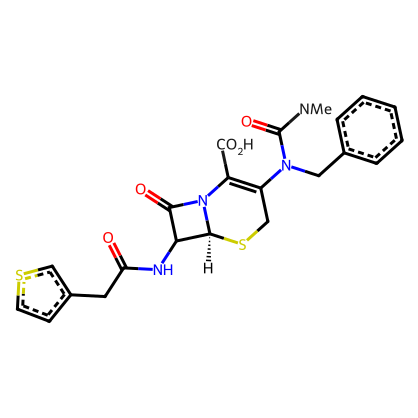 CNC(=O)N(Cc1ccccc1)C1=C(C(=O)O)N2C(=O)C(NC(=O)Cc3ccsc3)[C@@H]2SC1